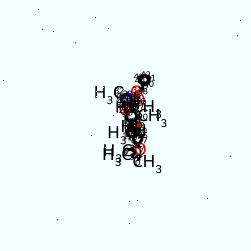 CC[Si](CC)(CC)OC1=CC2CC[C@H]3[C@@H]4CCC5(CC(C)=C4C[C@@H]3[C@@]2(C)CC1)O[C@@H]1C[C@H](C)CN(C(=O)OCc2ccccc2)[C@H]1[C@H]5C